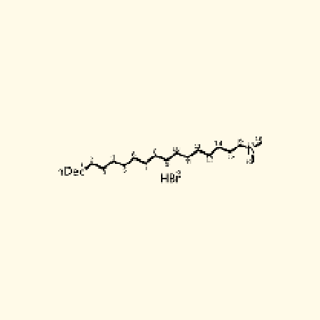 Br.CCCCCCCCCCCCCCCCCCCCCCCCCN(C)C